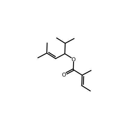 C/C=C(\C)C(=O)OC(C=C(C)C)C(C)C